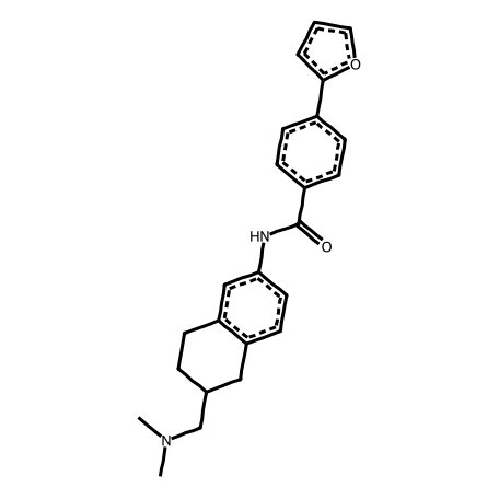 CN(C)CC1CCc2cc(NC(=O)c3ccc(-c4ccco4)cc3)ccc2C1